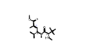 CN[C@H](C(=O)N(C)[C@H](/C=C(\C)C(=O)OC)C(C)C)C(C)(C)C